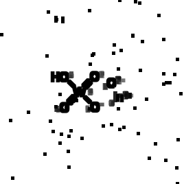 [In+3].[O-2].[O]=[W](=[O])([O-])[OH]